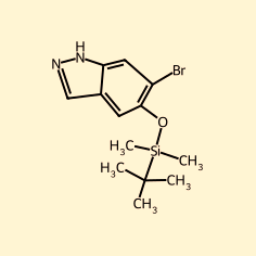 CC(C)(C)[Si](C)(C)Oc1cc2cn[nH]c2cc1Br